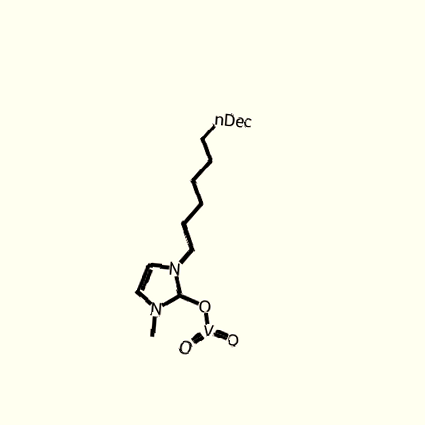 CCCCCCCCCCCCCCCCN1C=CN(C)C1[O][V](=[O])=[O]